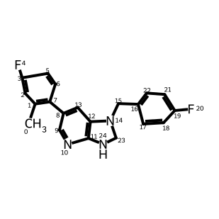 Cc1cc(F)ccc1-c1cnc2c(c1)N(Cc1ccc(F)cc1)CN2